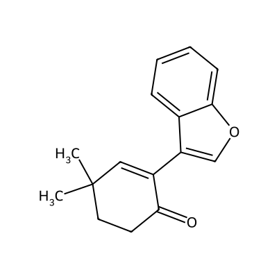 CC1(C)C=C(c2coc3ccccc23)C(=O)CC1